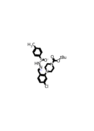 Cc1ccc([S+]([O-])N/N=C/c2ccc(Cl)cc2N2CCN(C(=O)OC(C)(C)C)CC2)cc1